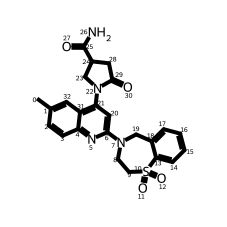 Cc1ccc2nc(N3CCS(=O)(=O)c4ccccc4C3)cc(N3CC(C(N)=O)CC3=O)c2c1